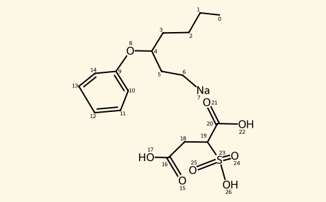 CCCCC(C[CH2][Na])Oc1ccccc1.O=C(O)CC(C(=O)O)S(=O)(=O)O